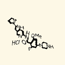 COc1cc(N2CCNCC2)cc(F)c1C(=O)Nc1cc2[nH]c([C@H]3CCCN3C)cc2cn1.Cl